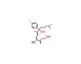 C=C(CCO)/C(C#N)=C\C=C(/C)C(O)(CCCN(C)C)c1ccc(F)cc1